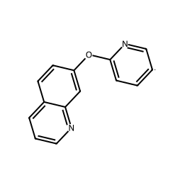 [c]1ccc(Oc2ccc3cccnc3c2)nc1